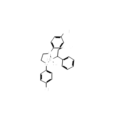 Cc1ccc(N2CCN(c3ccc(C)cc3)[PH]2(O)C(CC=O)c2ccccc2)cc1